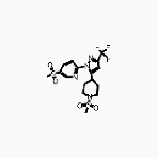 CS(=O)(=O)c1ccc(-n2nc(C(F)(F)F)cc2C2CCN(S(C)(=O)=O)CC2)nc1